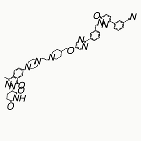 Cc1nn(C2CCC(=O)NC2=O)c(=O)c2cc(N3CCN(CCN4CCC(COc5cnc(-c6cccc(Cn7nc(-c8cccc(C#N)c8)ccc7=O)c6)nc5)CC4)CC3)ccc12